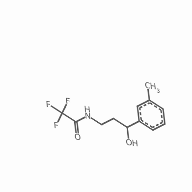 Cc1cccc(C(O)CCNC(=O)C(F)(F)F)c1